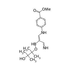 COC(=O)c1ccc(N/C=C(/BOC(C)(C)C(C)(C)O)C=N)cc1